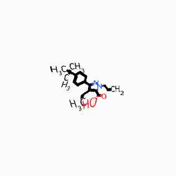 C=CCn1nc(-c2ccc(C(C)(C)C)cc2)c(CC)c1C(=O)O